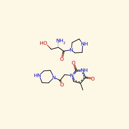 Cc1cn(CC(=O)N2CCNCC2)c(=O)[nH]c1=O.N[C@@H](CO)C(=O)N1CCNCC1